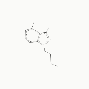 CCCCn1nc(F)c2c(C)cccc21